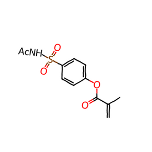 C=C(C)C(=O)Oc1ccc(S(=O)(=O)NC(C)=O)cc1